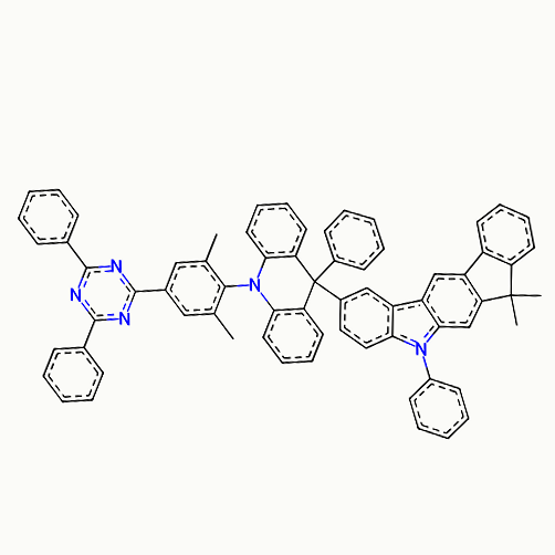 Cc1cc(-c2nc(-c3ccccc3)nc(-c3ccccc3)n2)cc(C)c1N1c2ccccc2C(c2ccccc2)(c2ccc3c(c2)c2cc4c(cc2n3-c2ccccc2)C(C)(C)c2ccccc2-4)c2ccccc21